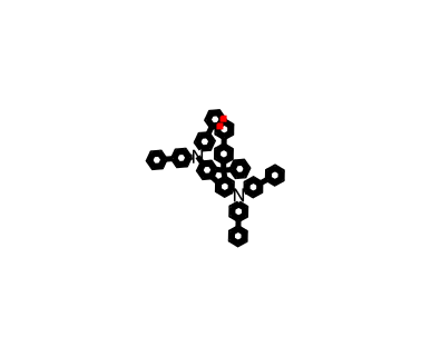 c1ccc(-c2ccc(N(c3ccc(-c4ccccc4)cc3)c3ccc4c(c3)C(c3ccccc3)(c3ccc(-c5ccccc5)cc3)c3cc(N(c5ccc(-c6ccccc6)cc5)c5ccc(-c6ccccc6)cc5)ccc3-4)cc2)cc1